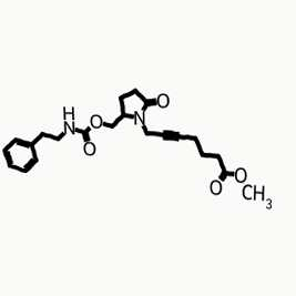 COC(=O)CCCC#CCN1C(=O)CCC1COC(=O)NCCc1ccccc1